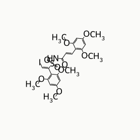 COc1cc(OC)c(C=CC(=O)NS(=O)(=O)C(=CI)c2c(OC)cc(OC)cc2OC)c(OC)c1